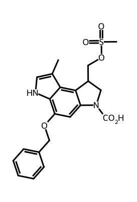 Cc1c[nH]c2c(OCc3ccccc3)cc3c(c12)C(COS(C)(=O)=O)CN3C(=O)O